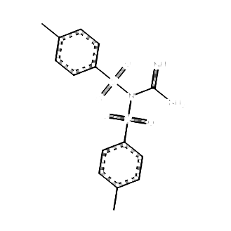 Cc1ccc(S(=O)(=O)N(C(=N)N)S(=O)(=O)c2ccc(C)cc2)cc1